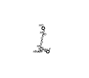 CCCCNc1nc(NCCOCCOCCC(=O)NCc2ccc(O)cc2)nc(NCc2cccc(F)c2)n1